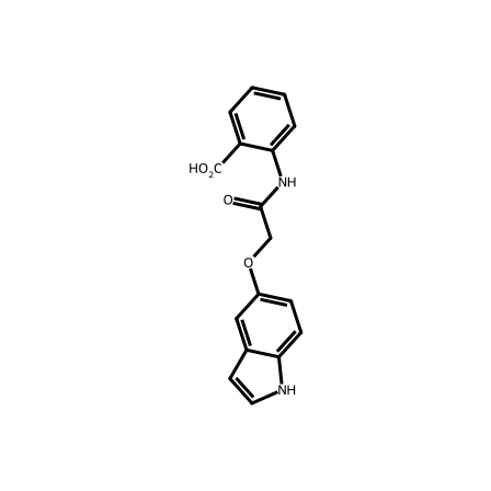 O=C(COc1ccc2[nH]ccc2c1)Nc1ccccc1C(=O)O